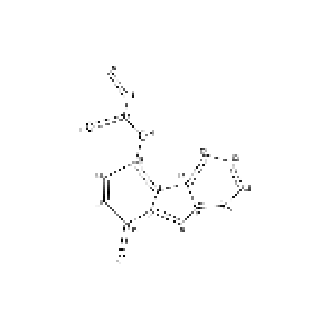 C=CC(=O)OC1=C2C(=Cc3ccccc32)C(=O)C=C1